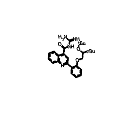 CCCCC(COc1ccccc1-c1cc(C(=O)NC(=N)N)c2ccccc2n1)OC(C)(C)C